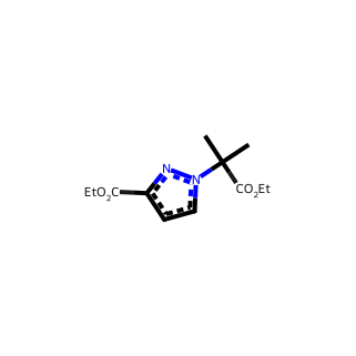 CCOC(=O)c1ccn(C(C)(C)C(=O)OCC)n1